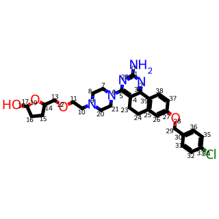 Nc1nc2c(c(N3CCN(CCOCC4CCC(O)O4)CC3)n1)CCc1cc(OCc3ccc(Cl)cc3)ccc1-2